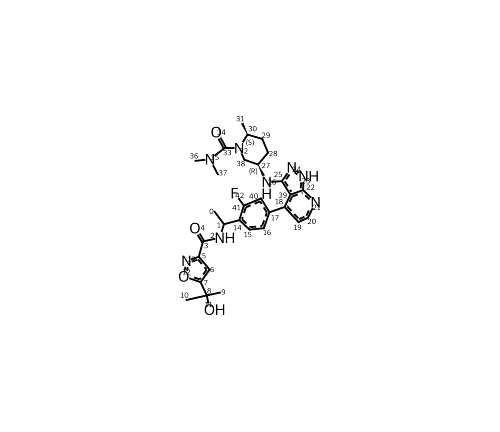 CC(NC(=O)c1cc(C(C)(C)O)on1)c1ccc(-c2ccnc3[nH]nc(N[C@@H]4CC[C@H](C)N(C(=O)N(C)C)C4)c23)cc1F